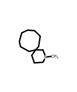 CN1CCCC2(CCCCCCCC2)C1